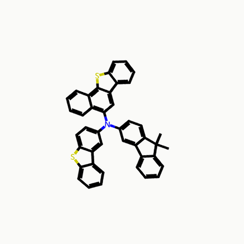 CC1(C)c2ccccc2-c2cc(N(c3ccc4sc5ccccc5c4c3)c3cc4c5ccccc5sc4c4ccccc34)ccc21